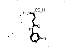 CCc1cccc(NC(=O)CC[C@H](N)C(=O)O)c1